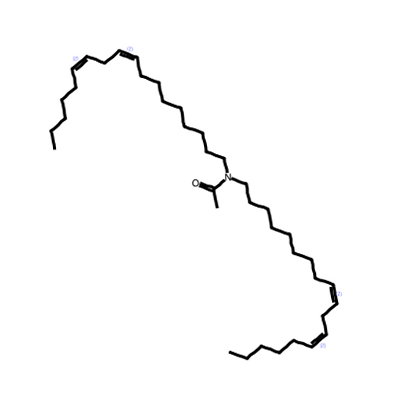 CCCCC/C=C\C/C=C\CCCCCCCCN(CCCCCCCC/C=C\C/C=C\CCCCC)C(C)=O